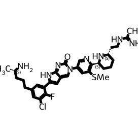 CSc1cc(-n2cc3cc(-c4cc(CCC[C@H](C)N)cc(Cl)c4F)[nH]c3nc2=O)cnc1[C@@H]1CCC[C@@H](CCNC(C)=N)N1